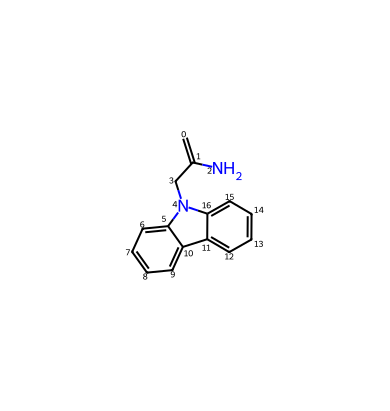 C=C(N)Cn1c2ccccc2c2ccccc21